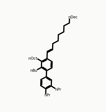 CCCCCCCCCCCCCCCCC=Cc1ccc(-c2ccc(CCC)c(CCC)c2)c(CCCC)c1CCCCCCCC